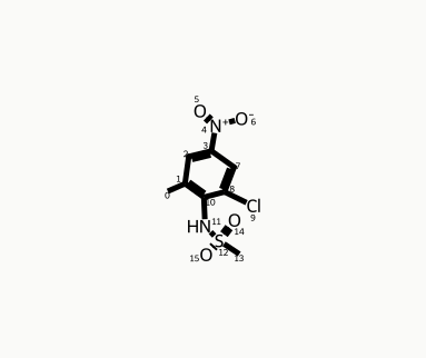 Cc1cc([N+](=O)[O-])cc(Cl)c1NS(C)(=O)=O